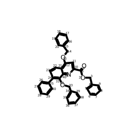 O=C(OCc1ccccc1)c1cc(OCc2ccccc2)c2ccc(-c3ccccc3)c(OCc3ccccc3)c2n1